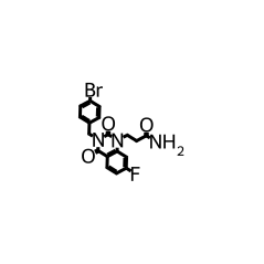 NC(=O)CCn1c(=O)n(Cc2ccc(Br)cc2)c(=O)c2ccc(F)cc21